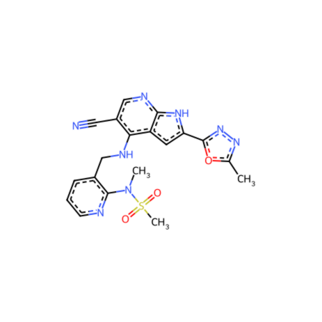 Cc1nnc(-c2cc3c(NCc4cccnc4N(C)S(C)(=O)=O)c(C#N)cnc3[nH]2)o1